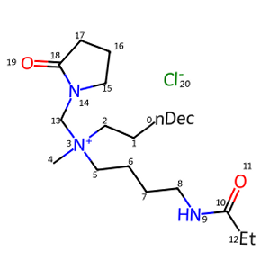 CCCCCCCCCCCC[N+](C)(CCCCNC(=O)CC)CN1CCCC1=O.[Cl-]